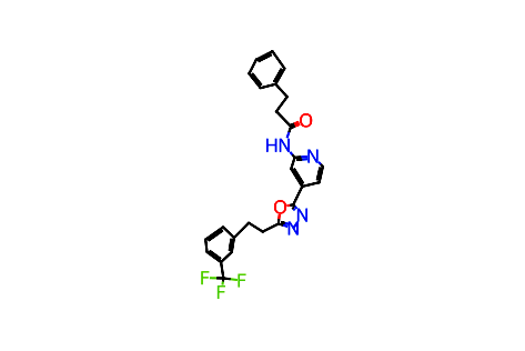 O=C(CCc1ccccc1)Nc1cc(-c2nnc(CCc3cccc(C(F)(F)F)c3)o2)ccn1